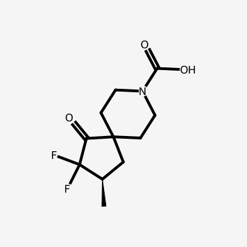 C[C@@H]1CC2(CCN(C(=O)O)CC2)C(=O)C1(F)F